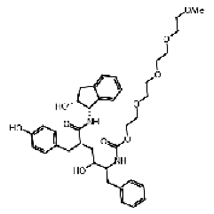 COCCOCCOCCOCCOC(=O)N[C@@H](Cc1ccccc1)[C@@H](O)C[C@@H](Cc1ccc(O)cc1)C(=O)N[C@H]1c2ccccc2C[C@H]1O